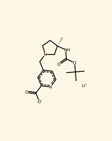 CC(C)(C)OC(=O)N[C@]1(C)CCN(Cc2ccnc(C(=O)[O-])c2)C1.[Li+]